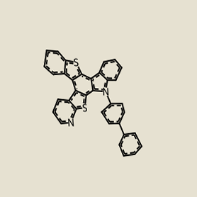 c1ccc(-c2ccc(-n3c4ccccc4c4c5sc6ccccc6c5c5c6cccnc6sc5c43)cc2)cc1